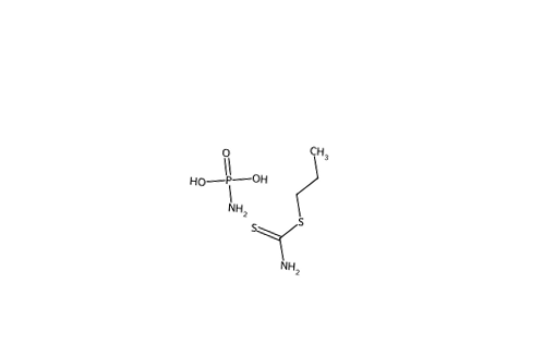 CCCSC(N)=S.NP(=O)(O)O